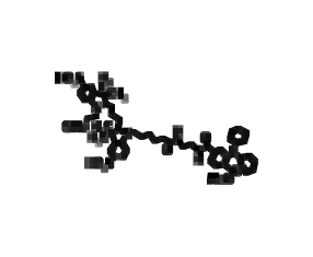 COCC[N+]1=C(/C=C/C=C2/N(CCCCCC(=O)NCCNC(=O)c3ccc(C(=O)OC)c(P(c4ccccc4)c4ccccc4)c3)c3ccc(S(=O)(=O)O)cc3C2(C)C)C(C)(C)c2cc(S(=O)(=O)O)ccc21